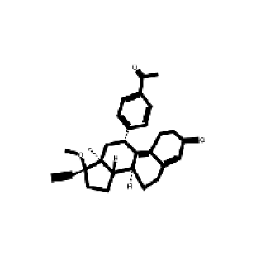 C#C[C@]1(OC)CC[C@H]2[C@@H]3CCC4=CC(=O)CCC4=C3[C@@H](c3ccc(C(C)=O)cc3)C[C@@]21C